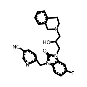 N#Cc1ccc(Cn2c(=O)n(CC(O)CN3CCc4ccccc4C3)c3cc(F)ccc32)nc1